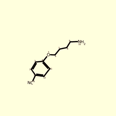 N#Cc1ccc(OCCCCN)cc1